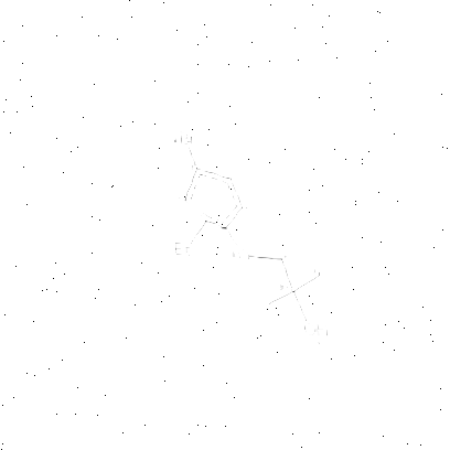 CCc1cc(Br)ccc1OCC(C)(C)O